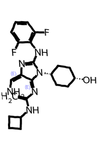 C=C(/N=C1\C(=C/N)N=C(Nc2c(F)cccc2F)N1[C@H]1CC[C@@H](O)CC1)NC1CCC1